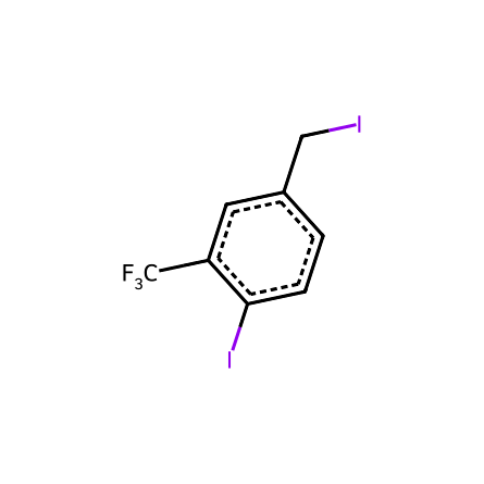 FC(F)(F)c1cc(CI)ccc1I